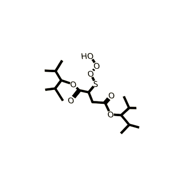 CC(C)C(OC(=O)CC(SOOO)C(=O)OC(C(C)C)C(C)C)C(C)C